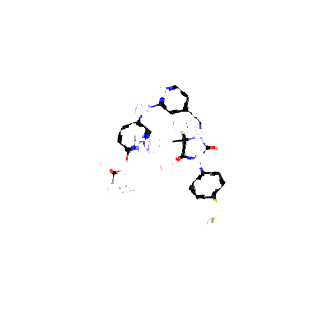 COC(=O)Oc1ccc(Nc2cc(CN3C(=O)N(c4ccc(SC(F)(F)F)cc4)C(=O)C3(C)C)ccn2)cn1